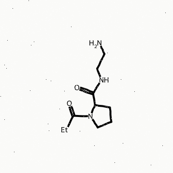 CCC(=O)N1CCCC1C(=O)NCCN